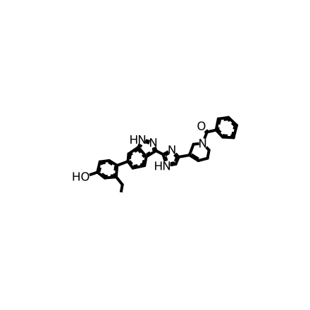 CCc1cc(O)ccc1-c1ccc2c(-c3nc(C4=CCCN(C(=O)c5ccccc5)C4)c[nH]3)n[nH]c2c1